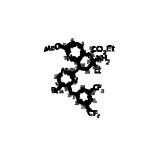 CCOC(=O)N1c2ccc(OC)nc2[C@H](c2ncc(Br)c(Cc3cc(C(F)(F)F)cc(C(F)(F)F)c3)n2)C[C@]1(N)CC